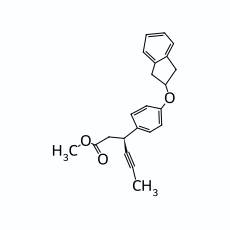 CC#C[C@@H](CC(=O)OC)c1ccc(OC2Cc3ccccc3C2)cc1